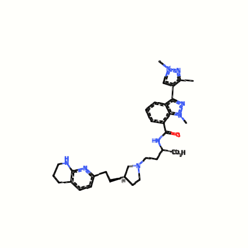 Cc1nn(C)cc1-c1nn(C)c2c(C(=O)NC(CCN3CC[C@@H](CCc4ccc5c(n4)NCCC5)C3)C(=O)O)cccc12